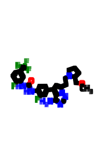 COCC1CCCN1CCc1cc(-c2ccc(NC(=O)Nc3cc(C(F)(F)F)ccc3F)c(F)c2)c2c(N)ncnn12